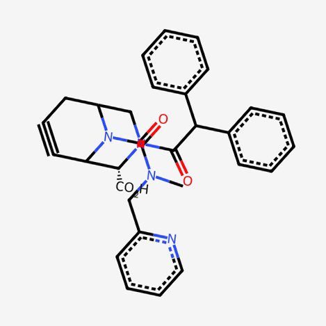 CN(Cc1ccccn1)C(=O)N1C2CC#CC1[C@@H](C(=O)O)N(C(=O)C(c1ccccc1)c1ccccc1)C2